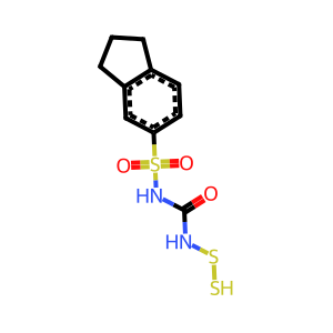 O=C(NSS)NS(=O)(=O)c1ccc2c(c1)CCC2